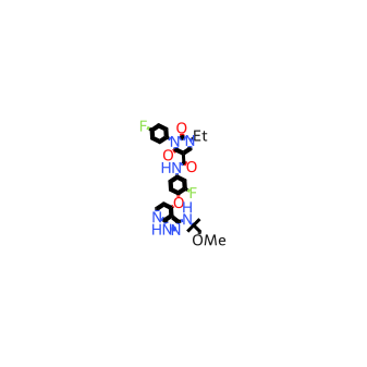 CCn1cc(C(=O)Nc2ccc(Oc3ccnc4[nH]nc(NC(C)(C)COC)c34)c(F)c2)c(=O)n(-c2ccc(F)cc2)c1=O